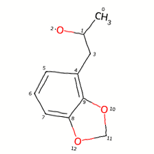 CC([O])Cc1cccc2c1OCO2